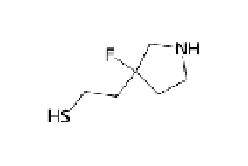 FC1(CCS)CCNC1